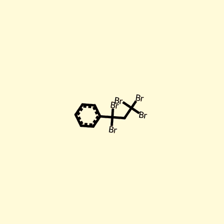 BrC(Br)(Br)CC(Br)(Br)c1ccccc1